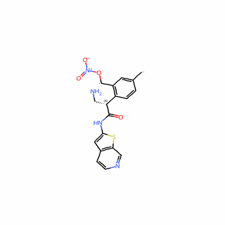 [CH2]c1ccc([C@@H](CN)C(=O)Nc2cc3ccncc3s2)c([CH]O[N+](=O)[O-])c1